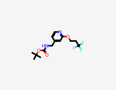 CC(C)(C)OC(=O)NCc1ccnc(OCCC(F)(F)F)c1